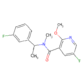 COc1ncc(F)cc1C(=O)N(C)C(C)c1cccc(F)c1